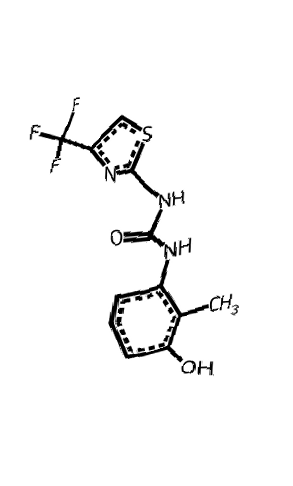 Cc1c(O)cccc1NC(=O)Nc1nc(C(F)(F)F)cs1